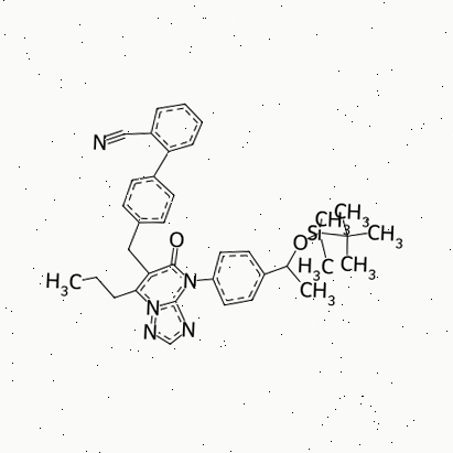 CCCc1c(Cc2ccc(-c3ccccc3C#N)cc2)c(=O)n(-c2ccc(C(C)O[Si](C)(C)C(C)(C)C)cc2)c2ncnn12